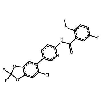 COc1ccc(F)cc1C(=O)Nc1ccc(-c2cc3c(cc2Cl)OC(F)(F)O3)cn1